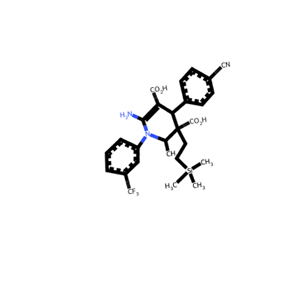 CC1N(c2cccc(C(F)(F)F)c2)C(N)=C(C(=O)O)C(c2ccc(C#N)cc2)C1(CC[Si](C)(C)C)C(=O)O